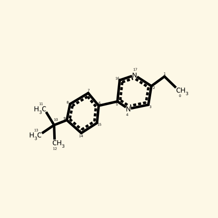 CCc1cnc(-c2ccc(C(C)(C)C)cc2)cn1